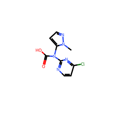 Cn1nccc1N(C(=O)O)c1nccc(Cl)n1